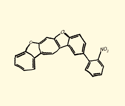 O=[N+]([O-])c1ccccc1-c1ccc2oc3cc4oc5ccccc5c4cc3c2c1